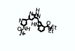 CCN(CC)C(=O)c1cccc2[nH]c(-c3n[nH]c4ncc(-c5cncc(NC(=O)N(C)C)c5)cc34)cc12